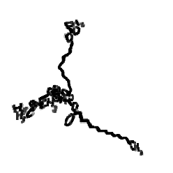 CCCCCCCCCCCCCCCC(=O)OCC(COP(=O)(O)OCC[N+](C)(C)C)OC(=O)CCCCCCCCCCCOC(=O)CC